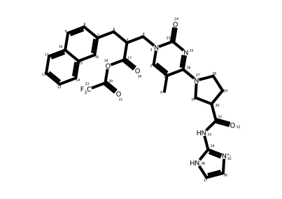 Cc1cn(CC(Cc2ccc3ccccc3c2)C(=O)OC(=O)C(F)(F)F)c(=O)nc1N1CCC(C(=O)NC2=[N+]C=CN2)C1